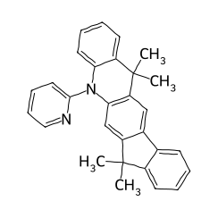 CC1(C)c2ccccc2-c2cc3c(cc21)N(c1ccccn1)c1ccccc1C3(C)C